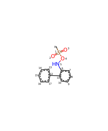 CS(=O)(=O)ONc1ccccc1-c1ccccc1